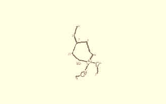 CCC1CC[Si](OC)(OC)CC1